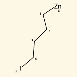 [Zn][CH2]CCCI